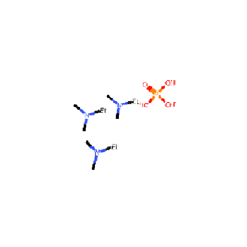 CCN(C)C.CCN(C)C.CCN(C)C.O=P(O)(O)O